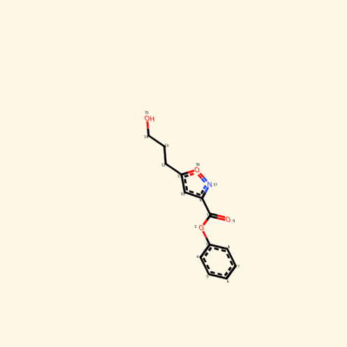 O=C(Oc1ccccc1)c1cc(CCCO)on1